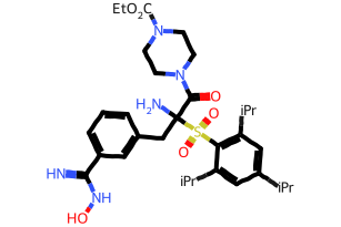 CCOC(=O)N1CCN(C(=O)C(N)(Cc2cccc(C(=N)NO)c2)S(=O)(=O)c2c(C(C)C)cc(C(C)C)cc2C(C)C)CC1